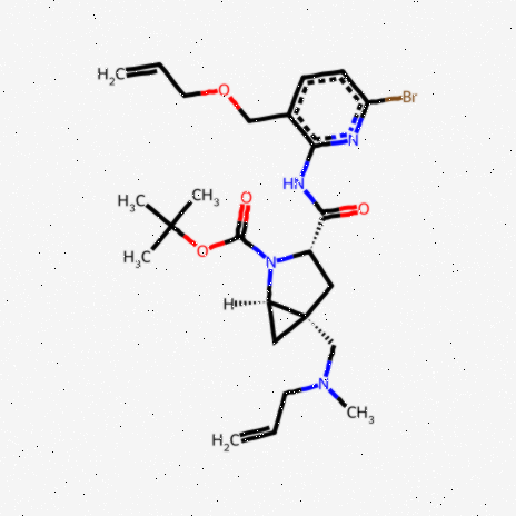 C=CCOCc1ccc(Br)nc1NC(=O)[C@@H]1C[C@@]2(CN(C)CC=C)C[C@H]2N1C(=O)OC(C)(C)C